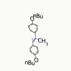 CCCCOc1ccc(/C=C(\C)c2ccc(OCCCC)cc2)cc1